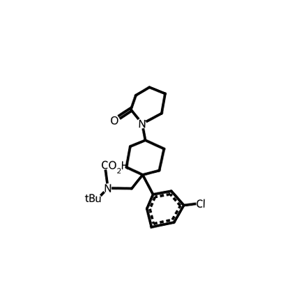 CC(C)(C)N(CC1(c2cccc(Cl)c2)CCC(N2CCCCC2=O)CC1)C(=O)O